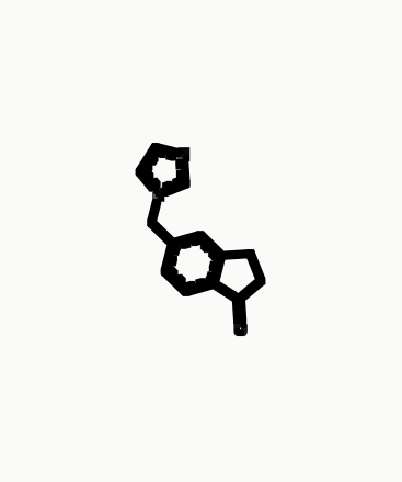 O=C1CCc2cc(Cn3ccnc3)ccc21